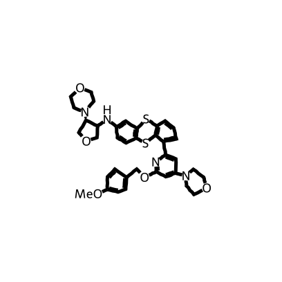 COc1ccc(COc2cc(N3CCOCC3)cc(-c3cccc4c3Sc3ccc(NC5COC[C@H]5N5CCOCC5)cc3S4)n2)cc1